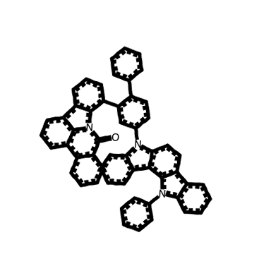 O=c1c2ccccc2c2cccc3c4cccc(-c5cc(-n6c7ccccc7c7c6ccc6c8ccccc8n(-c8ccccc8)c67)ccc5-c5ccccc5)c4n1c23